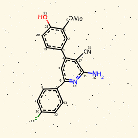 COc1cc(-c2cc(-c3ccc(F)cc3)nc(N)c2C#N)ccc1O